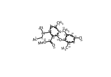 CCN(CC(C)=O)c1cc(C)nc(Oc2c(C)cc(Cl)cc2C)c1C(=O)OC